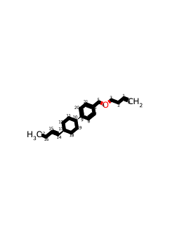 C=CCCOCc1ccc([C@H]2CC[C@H](/C=C/CC)CC2)cc1